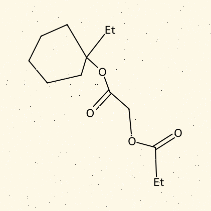 CCC(=O)OCC(=O)OC1(CC)CCCCC1